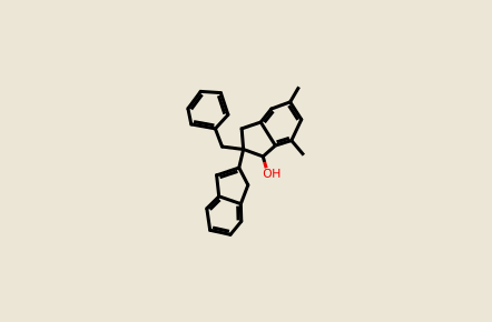 Cc1cc(C)c2c(c1)CC(Cc1ccccc1)(C1=Cc3ccccc3C1)C2O